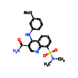 COc1cccc(Nc2c(C(N)=O)cnc3c(S(=O)(=O)N(C)C)cccc23)c1